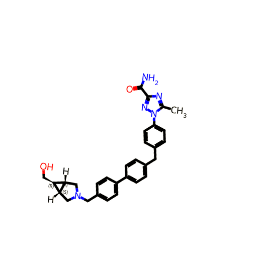 Cc1nc(C(N)=O)nn1-c1ccc(Cc2ccc(-c3ccc(CN4C[C@@H]5[C@@H](CO)[C@@H]5C4)cc3)cc2)cc1